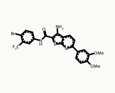 COc1ccc(-c2ccc3c(N)c(C(=O)Nc4ccc(Br)c(C(F)(F)F)c4)sc3n2)cc1OC